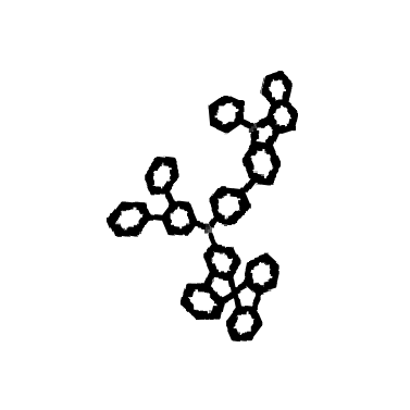 c1ccc(-c2ccc(N(c3ccc(-c4ccc5c6ccc7ccccc7c6n(-c6ccccc6)c5c4)cc3)c3ccc4c(c3)-c3ccccc3C43c4ccccc4-c4ccccc43)cc2-c2ccccc2)cc1